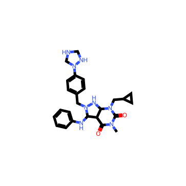 CN1C(=O)C2C(Nc3ccccc3)N(Cc3ccc(N4CNCN4)cc3)NC2N(CC2CC2)C1=O